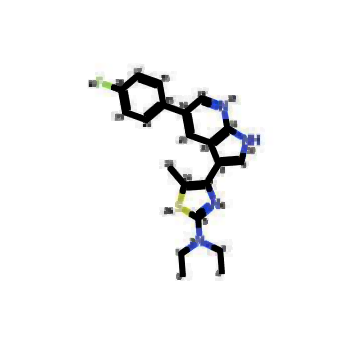 CCN(CC)c1nc(-c2c[nH]c3ncc(-c4ccc(F)cc4)cc23)c(C)s1